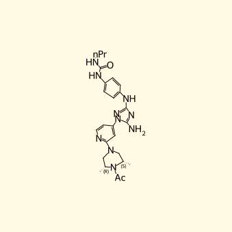 CCCNC(=O)Nc1ccc(Nc2nc(N)n(-c3ccnc(N4C[C@@H](C)N(C(C)=O)[C@@H](C)C4)c3)n2)cc1